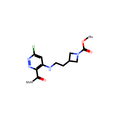 CNC(=O)c1nnc(Cl)cc1NCCC1CN(C(=O)OC(C)(C)C)C1